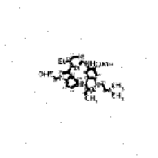 C=CC(=O)Nc1cc(Nc2ncc(CC)c(-c3cn(CC=O)c4ccccc34)n2)c(OC)cc1N(C)CCN(C)C